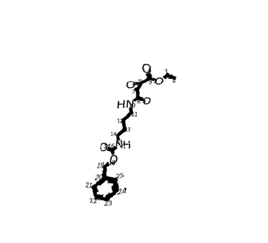 CCOC(=O)C1OC1C(=O)NCCCCNC(=O)OCc1ccccc1